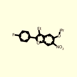 [CH2]Cc1c(-c2ccc(F)cc2)oc2cc([N+](=O)[O-])c(OC(C)C)cc12